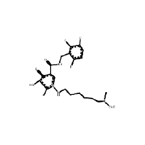 Cc1c(O)c(=O)c(C(=O)NCc2c(F)ccc(Cl)c2F)cn1NCCCCCCN(C)C=O